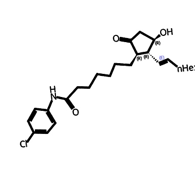 CCCCCC/C=C/[C@H]1[C@H](O)CC(=O)[C@@H]1CCCCCCC(=O)Nc1ccc(Cl)cc1